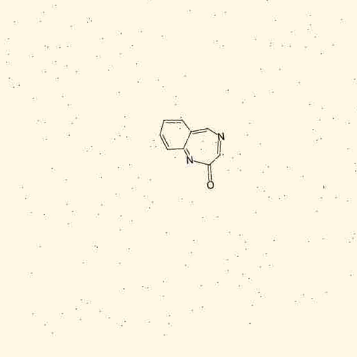 O=c1[c]ncc2ccccc2n1